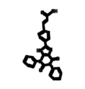 O=C(O)C=Cc1ccc(-c2nc3c(=O)n(-c4ccccc4)c(=O)n(-c4ccccc4)c3[nH]2)cc1